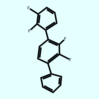 Fc1cccc(-c2ccc(-c3ccccc3)c(F)c2F)c1F